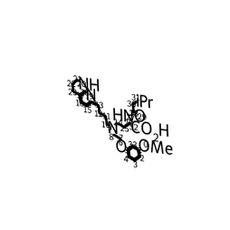 COc1cccc(OCCN(CCCCc2ccc3c(n2)NCCC3)CCC(NC(=O)CC(C)C)C(=O)O)c1